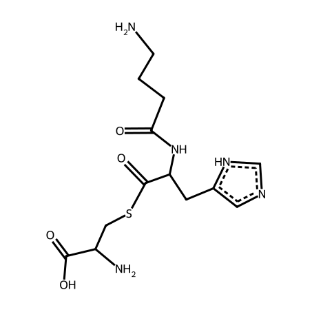 NCCCC(=O)NC(Cc1cnc[nH]1)C(=O)SCC(N)C(=O)O